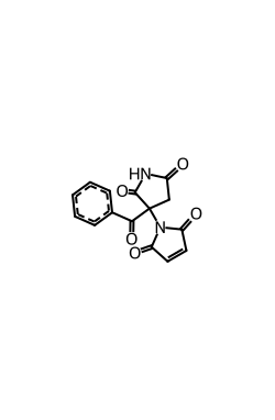 O=C1CC(C(=O)c2ccccc2)(N2C(=O)C=CC2=O)C(=O)N1